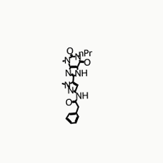 CCCn1c(=O)c2[nH]c(-c3cc(NC(=O)Cc4ccccc4)nn3C)nc2n(C)c1=O